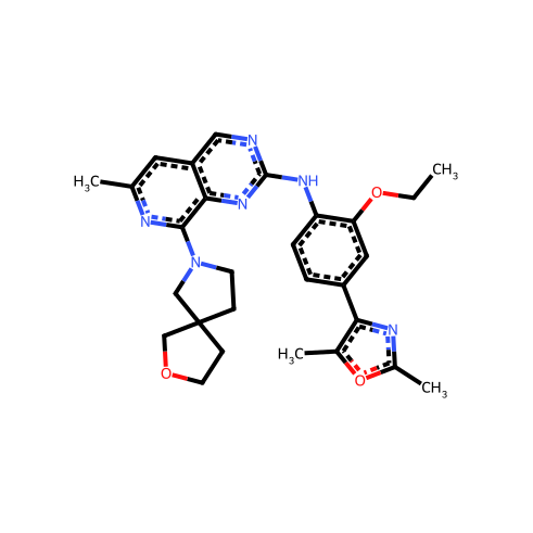 CCOc1cc(-c2nc(C)oc2C)ccc1Nc1ncc2cc(C)nc(N3CCC4(CCOC4)C3)c2n1